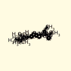 CC[C@H](C)N(C(=O)[C@@H](NC(=O)OC)C(C)C)[C@@H](C)c1ncc(-c2ccc3c(c2)COc2cc4c(cc2-3)CCc2nc([C@@H]3C[C@@H](COC)CN3C(=O)[C@H](NC(=O)OC)c3ccccc3)[nH]c2-4)[nH]1